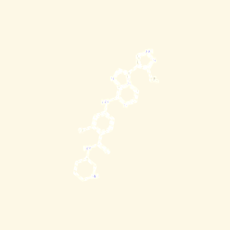 O=C(NC1CCCNC1)c1ccc(Nc2nccn3c(-c4c[nH]nc4C(F)(F)F)cnc23)cc1Cl